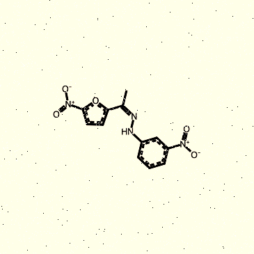 CC(=NNc1cccc([N+](=O)[O-])c1)c1ccc([N+](=O)[O-])o1